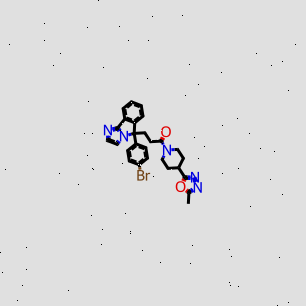 Cc1nnc(C2CCN(C(=O)CCC3(c4ccc(Br)cc4)c4ccccc4-c4nccn43)CC2)o1